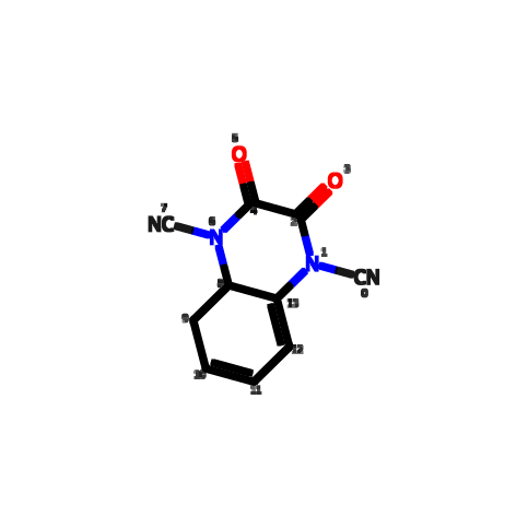 N#CN1C(=O)C(=O)N(C#N)C2CC=CC=C21